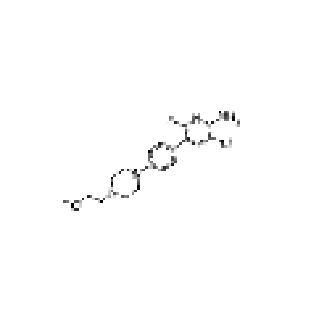 COCCN1CCN(c2ccc(-c3cc(Cl)c(N)nc3F)cc2)CC1